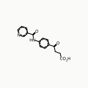 O=C(O)CCC(=O)c1ccc(NC(=O)c2cccnc2)cc1